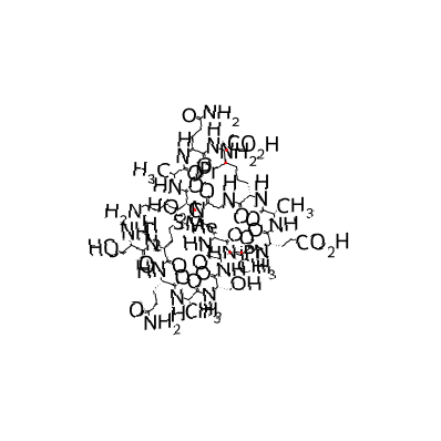 CSCC[C@H](NC(=O)[C@@H](N)CO)C(=O)N[C@@H](CCC(N)=O)C(=O)N[C@@H](C)C(=O)N[C@@H](CO)C(=O)N[C@@H](CC(C)C)C(=O)N[C@@H](CCC(=O)O)C(=O)N[C@@H](C)C(=O)N[C@@H](CCC(=O)O)C(=O)N[C@@H](C)C(=O)N[C@@H](CCCCN)C(=O)NCC(=O)N[C@@H](CCCCN)C(=O)N[C@@H](C)C(=O)N[C@@H](CCC(N)=O)C(=O)N[C@@H](CC(C)C)C(=O)O